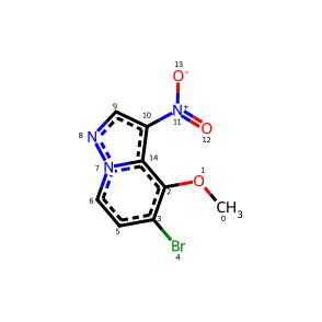 COc1c(Br)ccn2ncc([N+](=O)[O-])c12